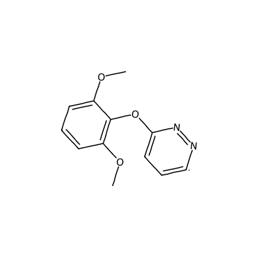 COc1cccc(OC)c1Oc1cc[c]nn1